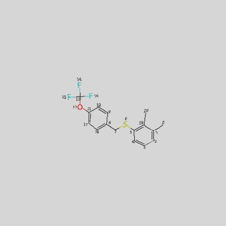 Cc1cc[c]c(SCc2ccc(OC(F)(F)F)cc2)c1C